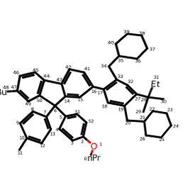 CCCOc1ccc(C2(c3ccc(C)cc3)c3cc(-c4cc(CC5CCCCC5)c(C(C)(C)CC)cc4CC4CCCCC4)ccc3-c3ccc(C(C)(C)C)cc32)cc1